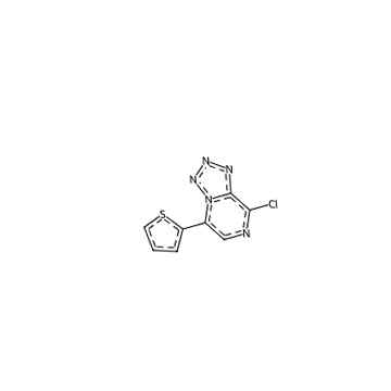 Clc1ncc(-c2cccs2)n2nnnc12